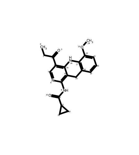 CCC(=O)c1cnc(NC(=O)C2CC2)c2c1Nc1c(cccc1OC)C2